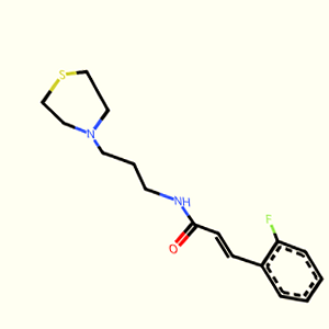 O=C(C=Cc1ccccc1F)NCCCN1CCSCC1